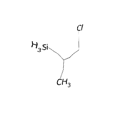 CC([SiH3])CCl